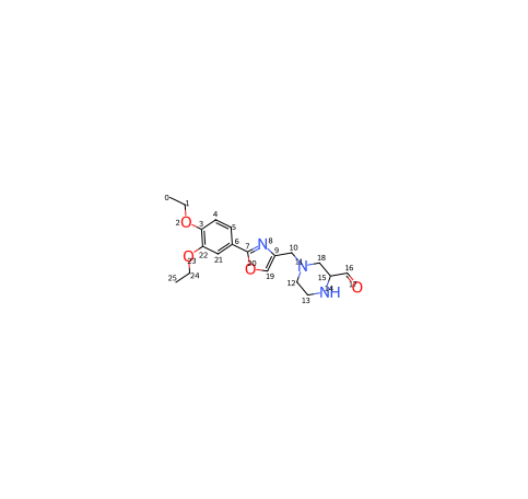 CCOc1ccc(-c2nc(CN3CCNC(C=O)C3)co2)cc1OCC